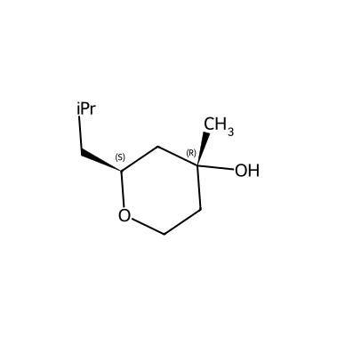 CC(C)C[C@H]1C[C@](C)(O)CCO1